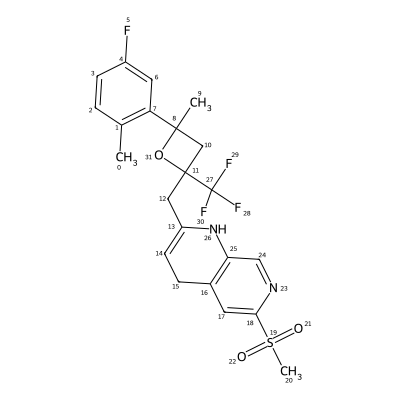 Cc1ccc(F)cc1C1(C)CC(CC2=CCc3cc(S(C)(=O)=O)ncc3N2)(C(F)(F)F)O1